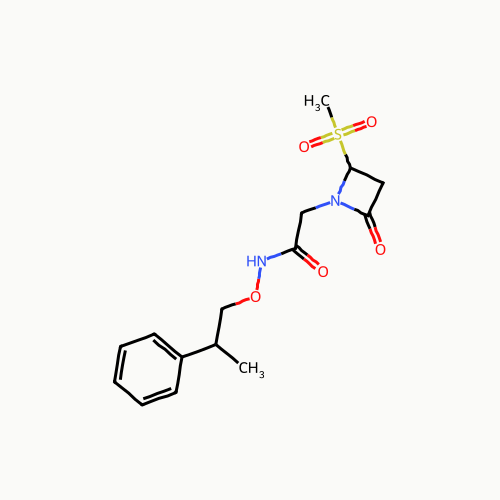 CC(CONC(=O)CN1C(=O)CC1S(C)(=O)=O)c1ccccc1